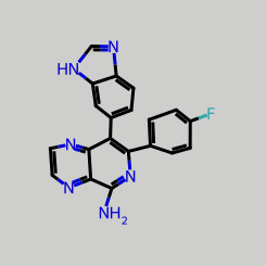 Nc1nc(-c2ccc(F)cc2)c(-c2ccc3nc[nH]c3c2)c2nccnc12